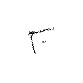 CCCCCCCCCCCCCCCCCC(=O)C(CO)(C(=O)CCCCCCCCCCCCCCCCC)N(C)C.Cl